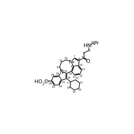 CC(C)NCCC(=O)c1cn2c3c(cccc13)-c1c(C3CCCCC3)c3ccc(C(=O)O)cc3n1CCC2